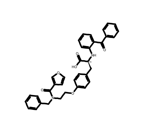 O=C(c1ccccc1)c1ccccc1N[C@@H](Cc1ccc(OCCN(Cc2ccccc2)C(=O)c2ccoc2)cc1)C(=O)O